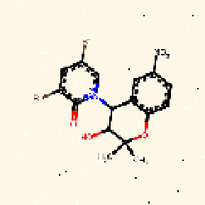 CC1(C)Oc2ccc([N+](=O)[O-])cc2C(n2cc(Br)cc(Br)c2=O)C1O